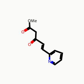 COC(=O)CC(=O)C=Cc1ccccn1